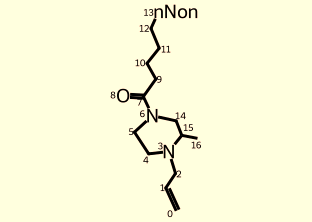 C=CCN1CCN(C(=O)CCCCCCCCCCCCC)CC1C